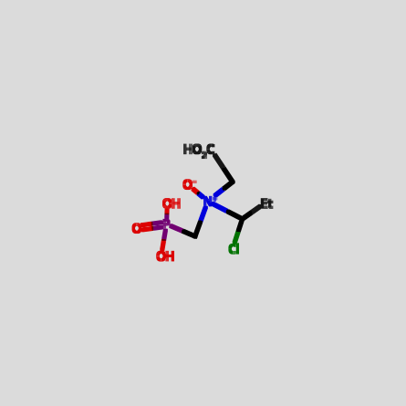 CCC(Cl)[N+]([O-])(CC(=O)O)CP(=O)(O)O